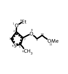 CCOc1csc(C)c1OCCOC